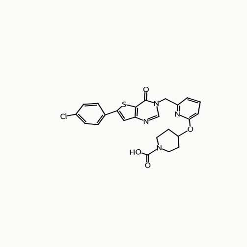 O=C(O)N1CCC(Oc2cccc(Cn3cnc4cc(-c5ccc(Cl)cc5)sc4c3=O)n2)CC1